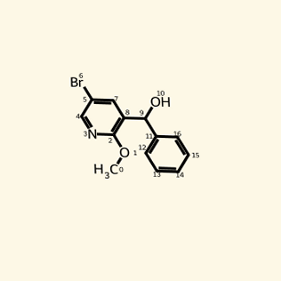 COc1ncc(Br)cc1C(O)c1ccccc1